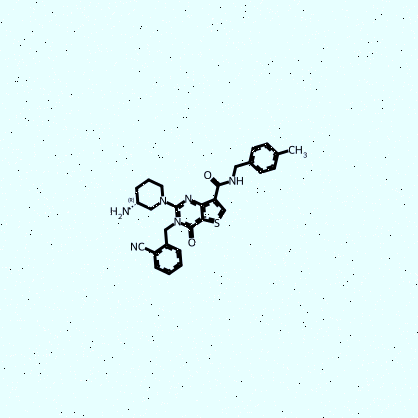 Cc1ccc(CNC(=O)c2csc3c(=O)n(Cc4ccccc4C#N)c(N4CCC[C@@H](N)C4)nc23)cc1